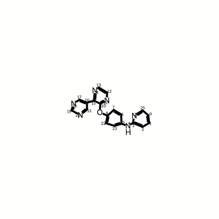 c1ccc(Nc2ccc(Oc3nccnc3-c3cncnc3)cc2)nc1